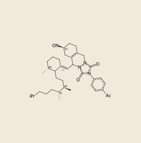 CC(=O)c1ccc(-n2c(=O)n3n(c2=O)C(/C=C2\CCC[C@@H](C)C2CC[C@@H](C)[C@H](C)CCCC(C)C)C2=C(CC[C@H](N=O)C2)C3)cc1